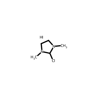 CN1CCN(C)C1Cl.I